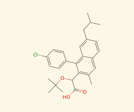 Cc1cc2ccc(CC(C)C)cc2c(-c2ccc(Cl)cc2)c1C(OC(C)(C)C)C(=O)O